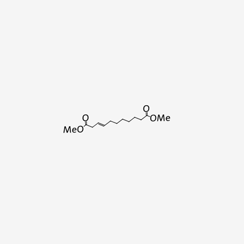 COC(=O)CC=CCCCCCCC(=O)OC